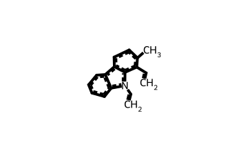 C=Cc1c(C)ccc2c3ccccc3n(C=C)c12